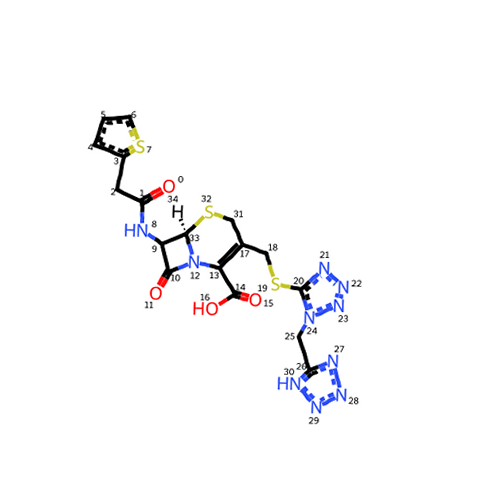 O=C(Cc1cccs1)NC1C(=O)N2C(C(=O)O)=C(CSc3nnnn3Cc3nnn[nH]3)CS[C@H]12